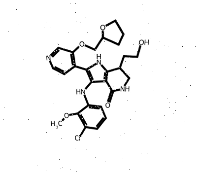 COc1c(Cl)cccc1Nc1c(-c2ccncc2OCC2CCCO2)[nH]c2c1C(=O)NCC2CCO